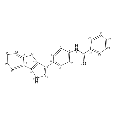 O=C(Nc1ccc(-c2n[nH]c3c2Cc2ccccc2-3)cc1)c1ccccc1